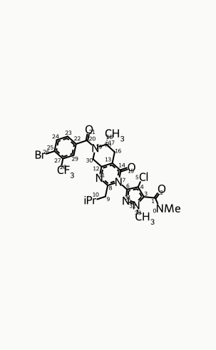 CNC(=O)c1c(Cl)c(-n2c(CC(C)C)nc3c(c2=O)C[C@@H](C)N(C(=O)c2ccc(Br)c(C(F)(F)F)c2)C3)nn1C